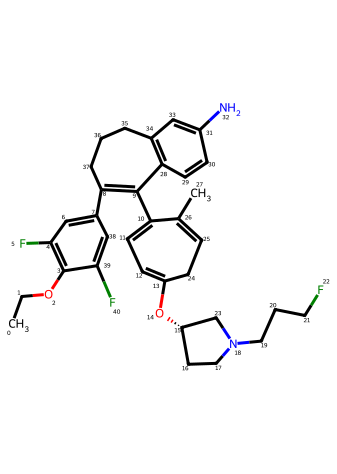 CCOc1c(F)cc(C2=C(C3=CC=C(O[C@H]4CCN(CCCF)C4)CC=C3C)c3ccc(N)cc3CCC2)cc1F